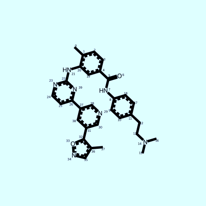 Cc1ccc(C(=O)Nc2ccc(CCN(C)C)cc2)cc1Nc1nccc(-c2cncc(-c3oncc3C)c2)n1